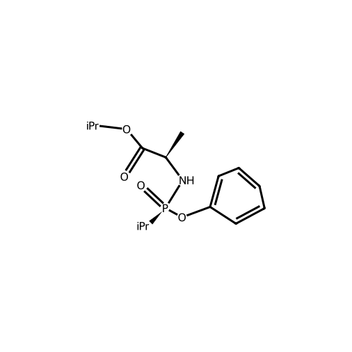 CC(C)OC(=O)[C@@H](C)N[P@@](=O)(Oc1ccccc1)C(C)C